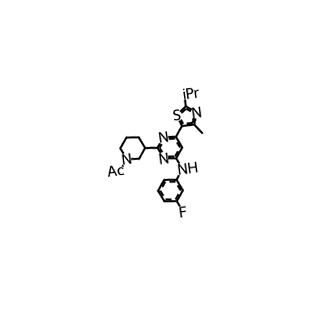 CC(=O)N1CCCC(c2nc(Nc3cccc(F)c3)cc(-c3sc(C(C)C)nc3C)n2)C1